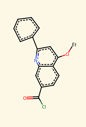 CCOc1cc(-c2ccccc2)nc2cc(C(=O)Cl)ccc12